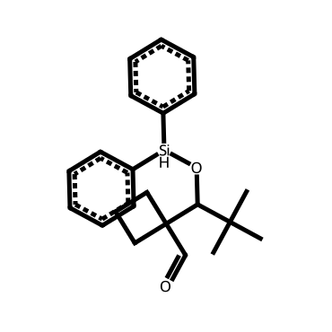 CC(C)(C)C(O[SiH](c1ccccc1)c1ccccc1)C1(C=O)CCC1